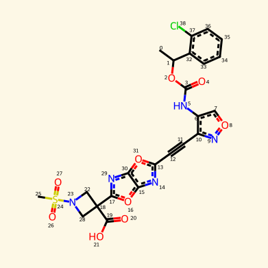 CC(OC(=O)Nc1conc1C#Cc1nc2oc(C3(C(=O)O)CN(S(C)(=O)=O)C3)nc2o1)c1ccccc1Cl